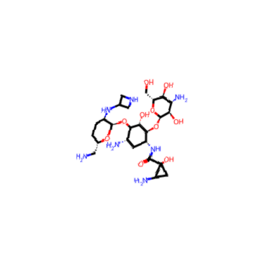 NC[C@@H]1CC[C@@H](NC2CNC2)[C@@H](OC2[C@@H](N)C[C@@H](NC(=O)C3(O)CC3N)[C@H](O[C@H]3O[C@H](CO)[C@@H](O)[C@H](N)[C@H]3O)[C@H]2O)O1